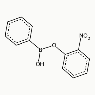 O=[N+]([O-])c1ccccc1OB(O)c1ccccc1